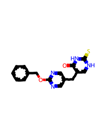 O=c1[nH]c(=S)[nH]cc1Cc1cnc(OCc2ccccc2)nc1